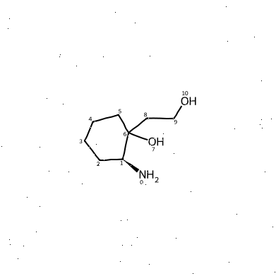 N[C@H]1CCCCC1(O)CCO